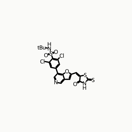 CC(C)(C)NS(=O)(=O)c1c(Cl)cc(-c2cncc3cc(C=C4SC(=S)NC4=O)oc23)cc1Cl